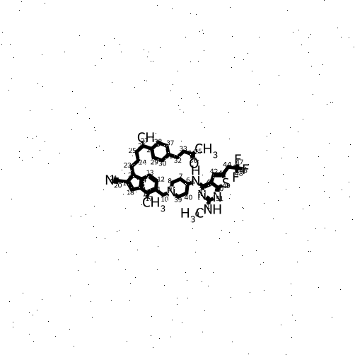 CNc1nc(NC2CCN(Cc3ccc4c(c3C)C=C(C#N)C4CCC[C@H](C)C3CCC(CCC(C)=O)CC3)CC2)c2cc(CC(F)(F)F)sc2n1